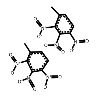 Cc1ccc([N+](=O)[O-])c([N+](=O)[O-])c1[N+](=O)[O-].Cc1ccc([N+](=O)[O-])c([N+](=O)[O-])c1[N+](=O)[O-]